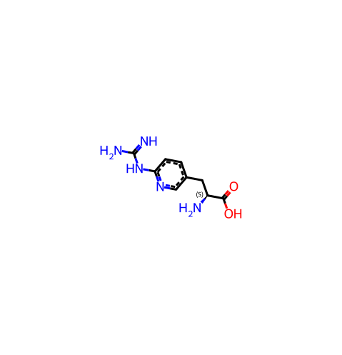 N=C(N)Nc1ccc(C[C@H](N)C(=O)O)cn1